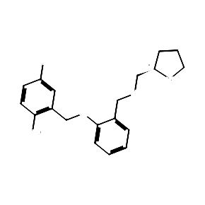 COc1ccc(Br)cc1COc1ccccc1COC[C@H]1CCCN1